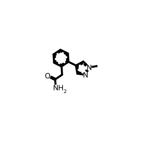 Cn1cc(-c2ccccc2CC(N)=O)cn1